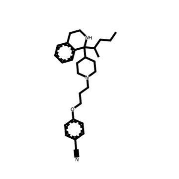 CCCC(C)C1(C2CCN(CCCOc3ccc(C#N)cc3)CC2)NCCc2ccccc21